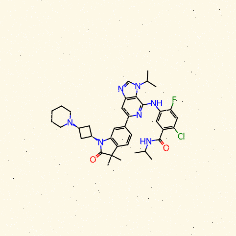 CC(C)NC(=O)c1cc(Nc2nc(-c3ccc4c(c3)N([C@H]3C[C@@H](N5CCCCC5)C3)C(=O)C4(C)C)cc3ncn(C(C)C)c23)c(F)cc1Cl